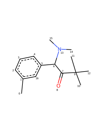 Cc1cccc(C(C(=O)C(C)(C)C)N(C)C)c1